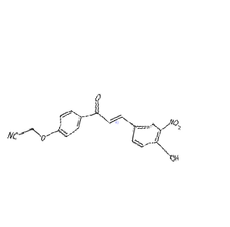 N#CCOc1ccc(C(=O)/C=C/c2ccc(O)c([N+](=O)[O-])c2)cc1